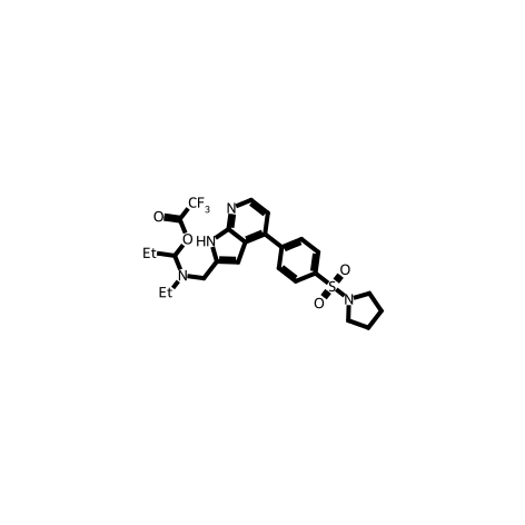 CCC(OC(=O)C(F)(F)F)N(CC)Cc1cc2c(-c3ccc(S(=O)(=O)N4CCCC4)cc3)ccnc2[nH]1